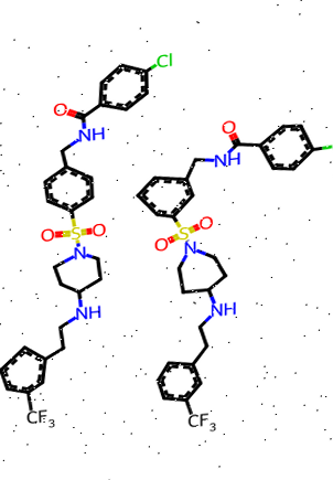 O=C(NCc1ccc(S(=O)(=O)N2CCC(NCCc3cccc(C(F)(F)F)c3)CC2)cc1)c1ccc(Cl)cc1.O=C(NCc1cccc(S(=O)(=O)N2CCC(NCCc3cccc(C(F)(F)F)c3)CC2)c1)c1ccc(Cl)cc1